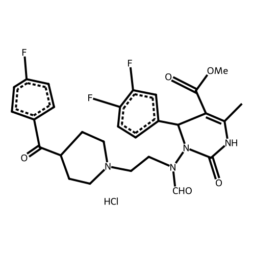 COC(=O)C1=C(C)NC(=O)N(N(C=O)CCN2CCC(C(=O)c3ccc(F)cc3)CC2)C1c1ccc(F)c(F)c1.Cl